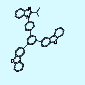 CC(C)c1nc2ccccc2n1-c1ccc(-c2cc(-c3ccc4oc5ccccc5c4c3)cc(-c3ccc4oc5ccccc5c4c3)c2)cc1